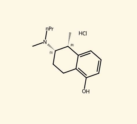 CCCN(C)[C@H]1CCc2c(O)cccc2[C@H]1C.Cl